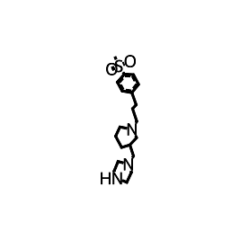 CS(=O)(=O)c1ccc(CCCN2CCCC(CN3CCNCC3)C2)cc1